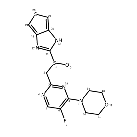 [O-][S+](Cc1ncc(F)c(N2CCOCC2)n1)c1nc2cscc2[nH]1